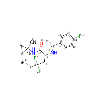 CC(C)CC(F)(F)C[C@H](N[C@H](C)c1ccc(F)cc1)C(=O)NC1(C#N)CC1